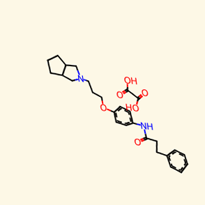 O=C(CCc1ccccc1)Nc1ccc(OCCCN2CC3CCCC3C2)cc1.O=C(O)C(=O)O